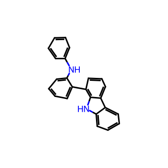 c1ccc(Nc2ccccc2-c2cccc3c2[nH]c2ccccc23)cc1